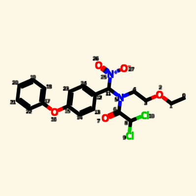 CCOCCN(C(=O)C(Cl)Cl)C(c1ccc(Oc2ccccc2)cc1)[N+](=O)[O-]